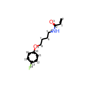 C=CC(=O)NCCCCOc1ccc(F)cc1